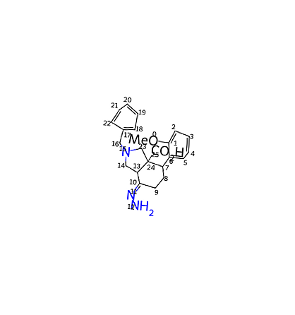 COc1ccccc1C1CCC(=NN)C2CN(Cc3ccccc3)CC21C(=O)O